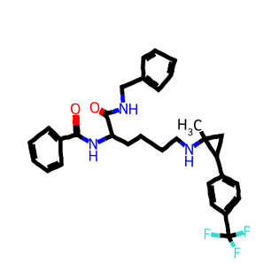 CC1(NCCCCC(NC(=O)c2ccccc2)C(=O)NCc2ccccc2)CC1c1ccc(C(F)(F)F)cc1